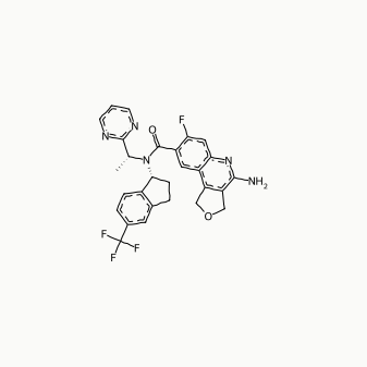 C[C@H](c1ncccn1)N(C(=O)c1cc2c3c(c(N)nc2cc1F)COC3)[C@@H]1CCc2cc(C(F)(F)F)ccc21